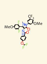 COc1cc(-n2c(=O)c(NC(=O)c3ccc(OC(F)F)cc3)c(-c3c(F)cc(OC)cc3F)n2C)cc(C(F)(F)F)c1